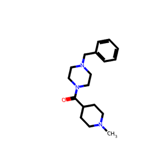 CN1CCC(C(=O)N2CCN(Cc3ccccc3)CC2)CC1